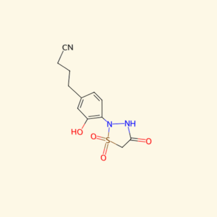 N#CCCCc1ccc(N2NC(=O)CS2(=O)=O)c(O)c1